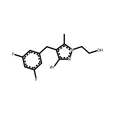 Cc1c(Cc2cc(F)cc(F)c2)c(C(C)C)nn1CCO